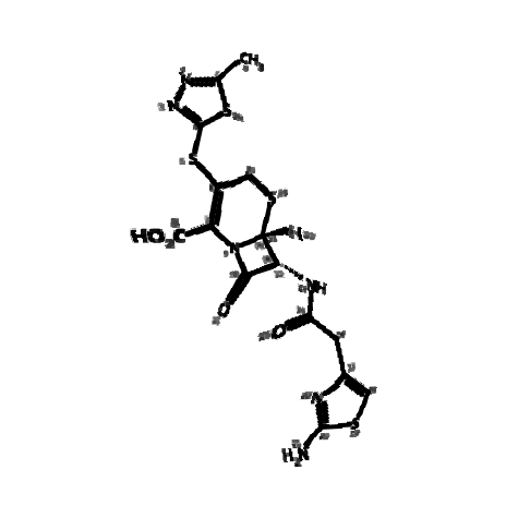 Cc1nnc(SC2=C(C(=O)O)N3C(=O)[C@@H](NC(=O)Cc4csc(N)n4)[C@H]3SC2)s1